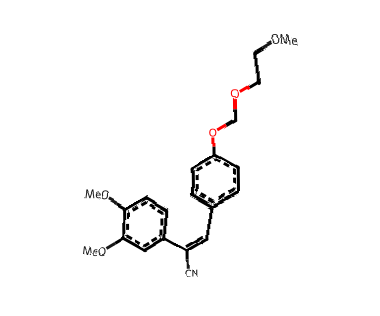 COCCOCOc1ccc(C=C(C#N)c2ccc(OC)c(OC)c2)cc1